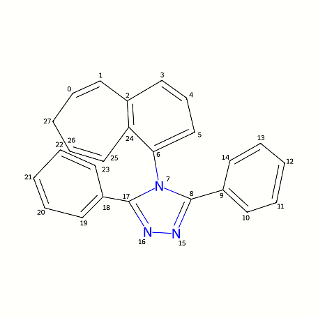 C1=Cc2cccc(-n3c(-c4ccccc4)nnc3-c3ccccc3)c2C=CC1